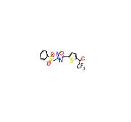 O=C(c1ccc(-c2nc(CS(=O)(=O)c3ccccc3)no2)s1)C(F)(F)F